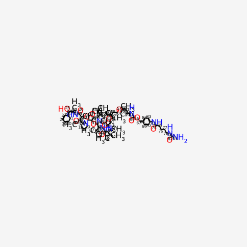 CC[C@H](C)[C@@H](C(CC(=O)N1CCC[C@H]1[C@H](OC)[C@@H](C)C(=O)N[C@H](C)[C@@H](O)C1C=CC=CC1)OC)N(C)C(=O)[C@@H](NC(=O)C(C(C)C)N(C)C(=O)COC(C)(C)CCOC(C)(C)CCNC(=O)OCc1ccc(NC(=O)CCCCNC(N)=O)cc1)C(C)C